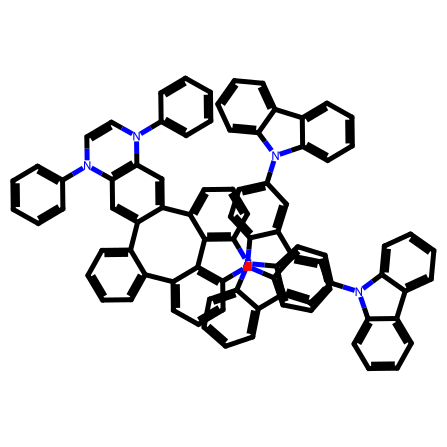 c1ccc(-n2ccn(-c3ccccc3)c3cc4c(cc32)c2ccccc2c2cccc(-n3c5ccccc5c5cc(-n6c7ccccc7c7ccccc76)ccc53)c2c2c(-n3c5ccccc5c5cc(-n6c7ccccc7c7ccccc76)ccc53)cccc42)cc1